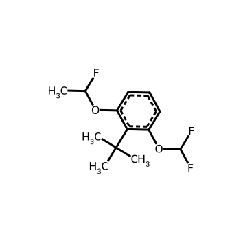 CC(F)Oc1cccc(OC(F)F)c1C(C)(C)C